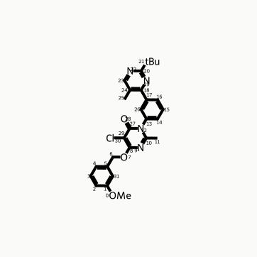 COc1cccc(COc2nc(C)n(-c3cccc(-c4nc(C(C)(C)C)ncc4C)c3)c(=O)c2Cl)c1